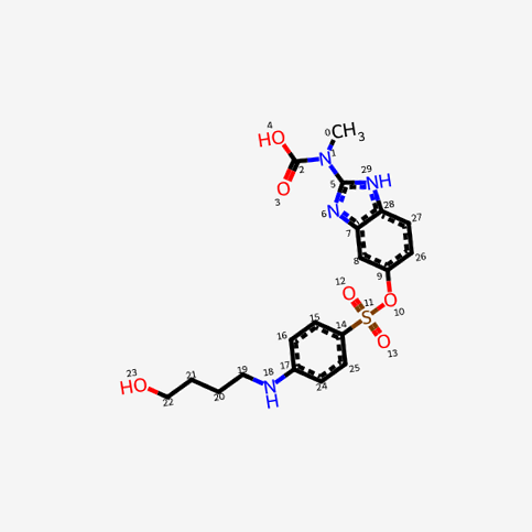 CN(C(=O)O)c1nc2cc(OS(=O)(=O)c3ccc(NCCCCO)cc3)ccc2[nH]1